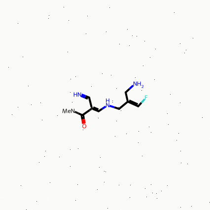 CNC(=O)/C(C=N)=C/NC/C(=C/F)CN